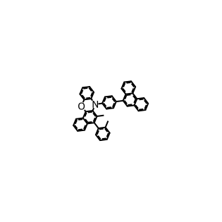 Cc1ccccc1-c1c(C)c2c(c3ccccc13)Oc1ccccc1N2c1ccc(-c2cc3ccccc3c3ccccc23)cc1